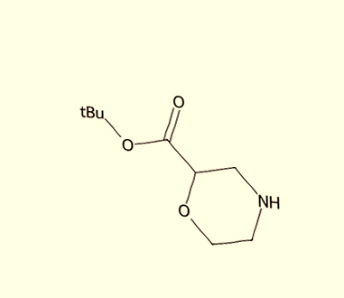 CC(C)(C)OC(=O)C1CNCCO1